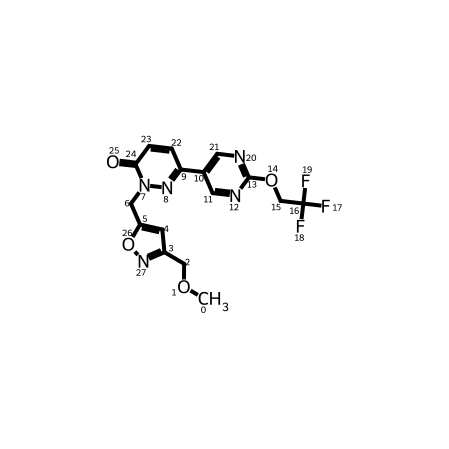 COCc1cc(Cn2nc(-c3cnc(OCC(F)(F)F)nc3)ccc2=O)on1